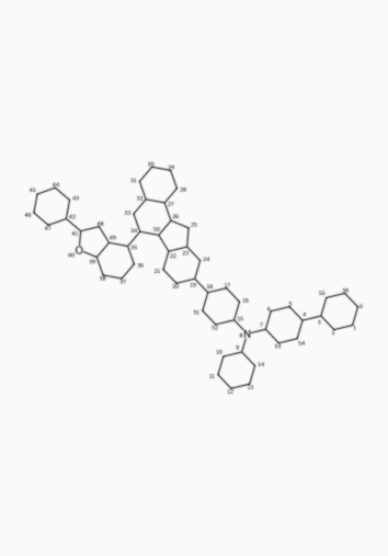 C1CCC(C2CCC(N(C3CCCCC3)C3CCC(C4CCC5C(C4)CC4C6CCCCC6CC(C6CCCC7OC(C8CCCCC8)CC76)C54)CC3)CC2)CC1